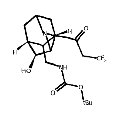 CC(C)(C)OC(=O)NCC1[C@@H]2CC3C[C@H]1[C@H](O)C2N(C(=O)CC(F)(F)F)C3